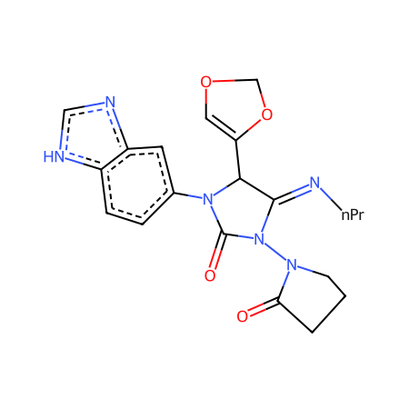 CCCN=C1C(C2=COCO2)N(c2ccc3[nH]cnc3c2)C(=O)N1N1CCCC1=O